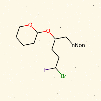 CCCCCCCCCCC(CCC(Br)I)OC1CCCCO1